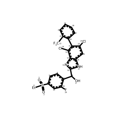 CCS(=O)(=O)c1ccc(C(O)c2nc3c(Cl)c(-c4ccccc4C(F)(F)F)c(Cl)cc3[nH]2)c(F)c1